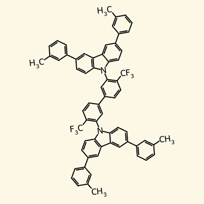 Cc1cccc(-c2ccc3c(c2)c2cc(-c4cccc(C)c4)ccc2n3-c2cc(-c3ccc(C(F)(F)F)c(-n4c5ccc(-c6cccc(C)c6)cc5c5cc(-c6cccc(C)c6)ccc54)c3)ccc2C(F)(F)F)c1